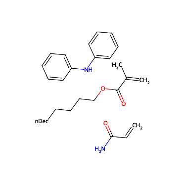 C=C(C)C(=O)OCCCCCCCCCCCCCC.C=CC(N)=O.c1ccc(Nc2ccccc2)cc1